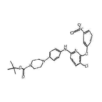 CC(C)(C)OC(=O)N1CCN(c2ccc(Nc3ccc(Cl)c(Oc4cccc([N+](=O)[O-])c4)n3)cc2)CC1